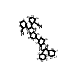 N#Cc1ccccc1-c1nc2ccc(-c3ccc4nc(-c5ccccc5)c(-c5ccccc5)nc4c3)cc2nc1-c1ccccc1C#N